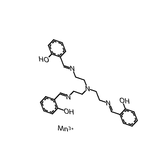 Oc1ccccc1C=NCCN(CCN=Cc1ccccc1O)CCN=Cc1ccccc1O.[Mn+3]